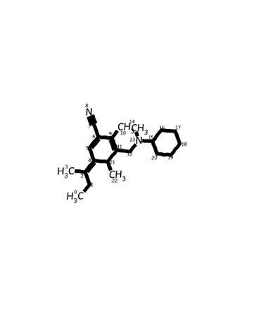 CC/C(C)=C1/C=C(C#N)C(C)=C(CN(C)C2CCCCC2)C1C